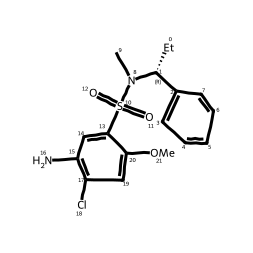 CC[C@H](c1ccccc1)N(C)S(=O)(=O)c1cc(N)c(Cl)cc1OC